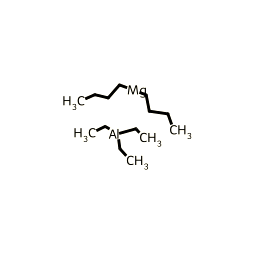 CCC[CH2][Mg][CH2]CCC.C[CH2][Al]([CH2]C)[CH2]C